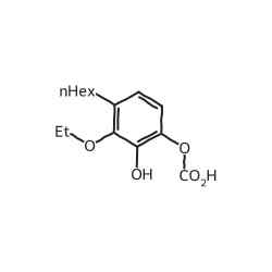 CCCCCCc1ccc(OC(=O)O)c(O)c1OCC